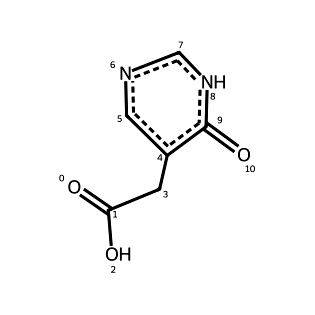 O=C(O)Cc1cnc[nH]c1=O